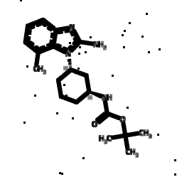 Cc1cccc2nc(N)n([C@H]3CCC[C@H](NC(=O)OC(C)(C)C)C3)c12